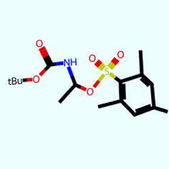 Cc1cc(C)c(S(=O)(=O)OC(C)NC(=O)OC(C)(C)C)c(C)c1